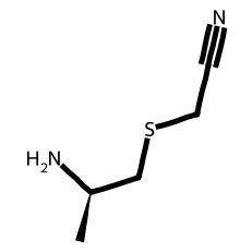 C[C@@H](N)CSCC#N